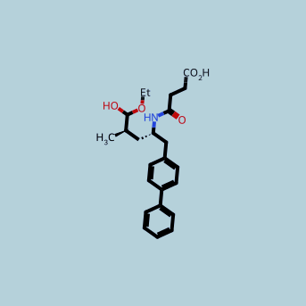 CCOC(O)[C@H](C)C[C@@H](Cc1ccc(-c2ccccc2)cc1)NC(=O)CCC(=O)O